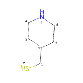 SCC1CCNCC1